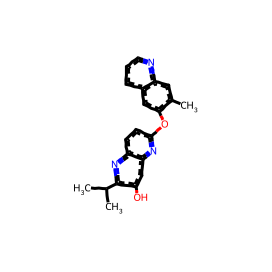 Cc1cc2ncccc2cc1Oc1ccc2nc(C(C)C)c(O)cc2n1